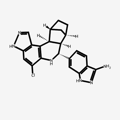 Nc1n[nH]c2cc([C@@H]3Nc4c(Cl)cc5[nH]ncc5c4[C@H]4[C@@H]5CC[C@H](C5)[C@H]43)ccc12